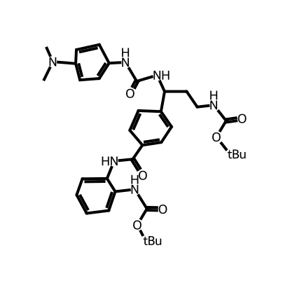 CN(C)c1ccc(NC(=O)NC(CCNC(=O)OC(C)(C)C)c2ccc(C(=O)Nc3ccccc3NC(=O)OC(C)(C)C)cc2)cc1